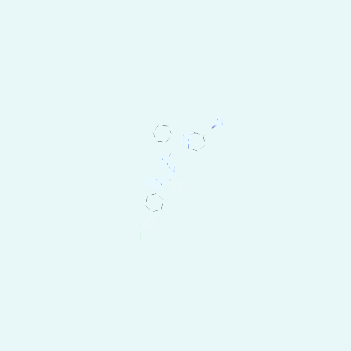 N#Cc1ccc(C2CN(C(=O)Nc3ccc(OC(F)(F)F)cc3)N=C2c2ccc(F)cc2)nc1